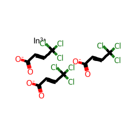 O=C([O-])/C=C/C(Cl)(Cl)Cl.O=C([O-])/C=C/C(Cl)(Cl)Cl.O=C([O-])/C=C/C(Cl)(Cl)Cl.[In+3]